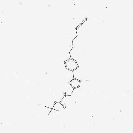 CC(C)(C)OC(=O)NCc1cnc(-c2ccc(CCCCN=[N+]=[N-])cc2)s1